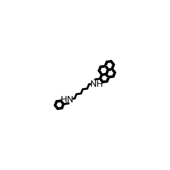 c1ccc(CNCCCCCCNCc2ccc3ccc4cccc5ccc2c3c45)cc1